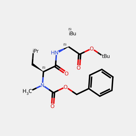 CC[C@H](C)[C@H](NC(=O)[C@H](CC(C)C)N(C)C(=O)OCc1ccccc1)C(=O)OC(C)(C)C